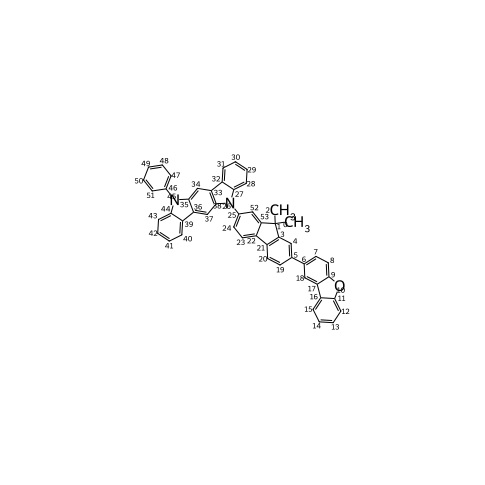 CC1(C)c2cc(-c3ccc4oc5ccccc5c4c3)ccc2-c2ccc(-n3c4ccccc4c4cc5c(cc43)c3ccccc3n5-c3ccccc3)cc21